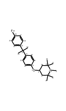 CN1C(C)(C)CC(Oc2ccc(C(C)(C)c3ccc(F)cc3)cc2)CC1(C)C